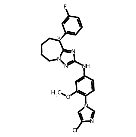 COc1cc(Nc2nc3n(n2)CCCC[C@H]3c2cccc(F)c2)ccc1-n1cnc(Cl)c1